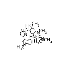 CNc1cc(Nc2nccc(-c3cn(C)c4ccccc34)n2)c(OC)cc1N(C)CCN(C)C